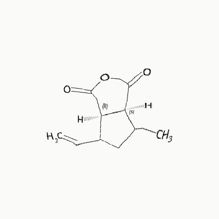 C=CC1CC(C)[C@@H]2C(=O)OC(=O)[C@H]12